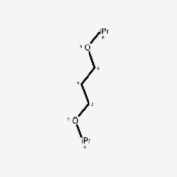 CC(C)O[CH]CCOC(C)C